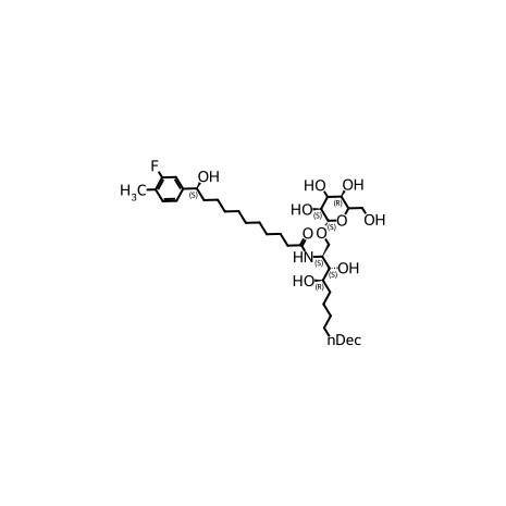 CCCCCCCCCCCCCC[C@@H](O)[C@@H](O)[C@H](CO[C@H]1OC(CO)[C@H](O)C(O)[C@@H]1O)NC(=O)CCCCCCCCC[C@H](O)c1ccc(C)c(F)c1